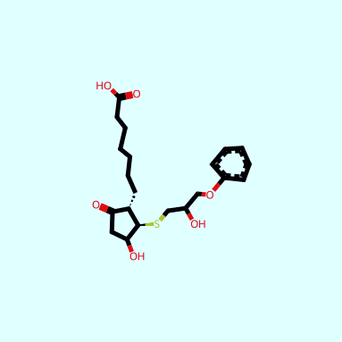 O=C(O)CCCCCC[C@H]1C(=O)CC(O)[C@@H]1SCC(O)COc1ccccc1